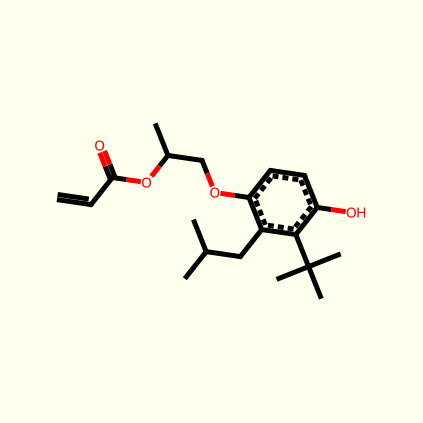 C=CC(=O)OC(C)COc1ccc(O)c(C(C)(C)C)c1C[C](C)C